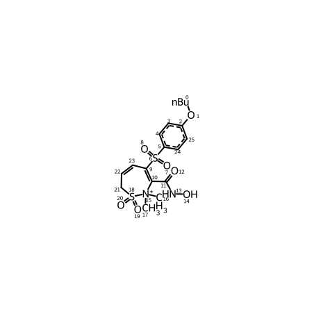 CCCCOc1ccc(S(=O)(=O)C2=C(C(=O)NO)[N+](C)(C)S(=O)(=O)CC=C2)cc1